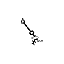 Cn1cnc(C#CC#Cc2ccc(C(=O)N[C@H](C(=O)NO)C(C)(C)C(F)F)cc2)c1